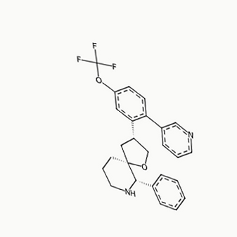 FC(F)(F)Oc1ccc(-c2cccnc2)c([C@@H]2CO[C@]3(CCCN[C@H]3c3ccccc3)C2)c1